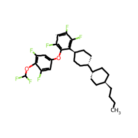 CCCC[C@H]1CC[C@H]([C@H]2CC[C@H](c3c(F)c(F)[c]c(F)c3Oc3cc(F)c(OC(F)F)c(F)c3)CC2)CC1